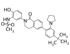 CC(C)(C)c1ccc(-c2ccc3c(c2)CCN(c2ccc(O)c(NS(C)(=O)=O)c2)C3=O)c(N2CCCC2)c1